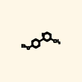 CCOc1ccc(-c2cc(C)ccn2)cc1